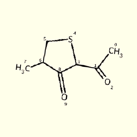 CC(=O)C1SCC(C)C1=O